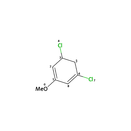 COC1=CC(Cl)[CH]C(Cl)=C1